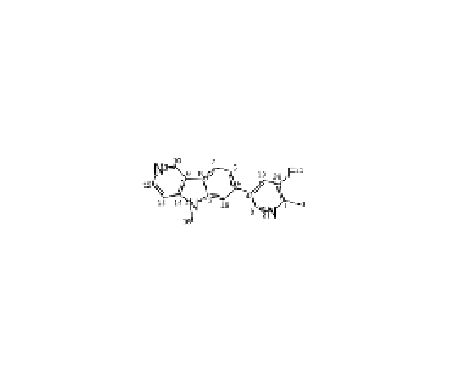 Cc1ncc(-c2ccc3c4cnccc4n(C)c3c2)cc1F